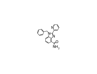 NC(=O)c1cccc2c1nc(-c1ccccn1)n2Cc1ccccc1